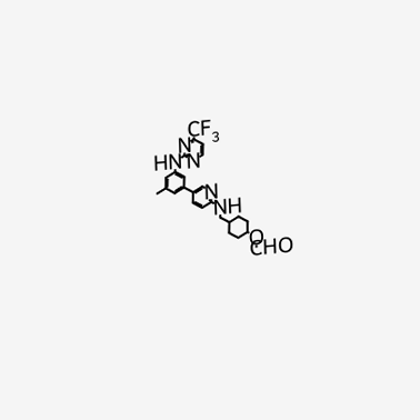 Cc1cc(Nc2nccc(C(F)(F)F)n2)cc(-c2ccc(NCC3CCC(OC=O)CC3)nc2)c1